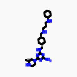 C[C@H]1CN(c2nc(N)nc(NC[C@H]3CC[C@H](CNCCCNC4CCCCC4)CC3)n2)CCN1